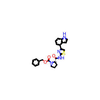 O=C(Nc1nc(-c2cccc3[nH]ccc23)cs1)[C@@H]1CCCN1C(=O)OCc1ccccc1